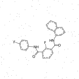 O=C(Nc1ccc(F)cc1)c1cccc(C(=O)Nc2cccc3ccccc23)c1F